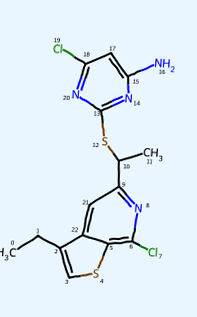 CCc1csc2c(Cl)nc(C(C)Sc3nc(N)cc(Cl)n3)cc12